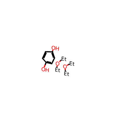 CCOCC.CCOCC.Oc1ccc(O)cc1